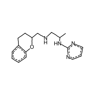 CC(CNCC1CCc2ccccc2O1)Nc1ncccn1